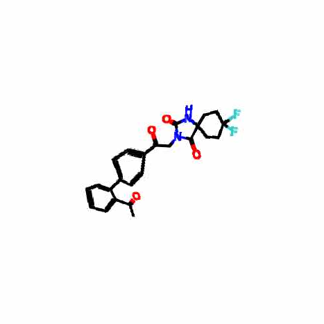 CC(=O)c1ccccc1-c1ccc(C(=O)CN2C(=O)NC3(CCC(F)(F)CC3)C2=O)cc1